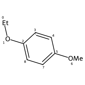 CCOc1[c]cc(OC)cc1